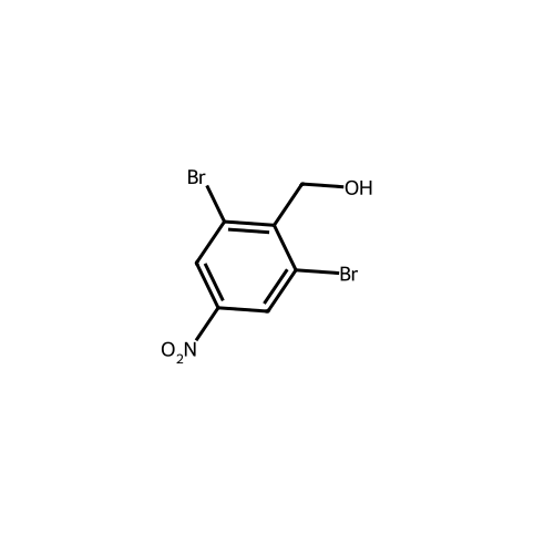 O=[N+]([O-])c1cc(Br)c(CO)c(Br)c1